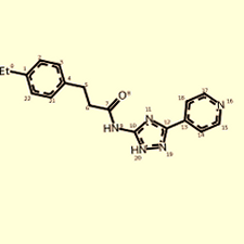 CCc1ccc(CCC(=O)Nc2nc(-c3ccncc3)n[nH]2)cc1